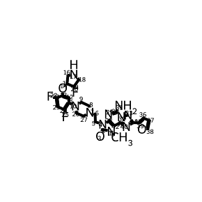 Cn1c(=O)n(CCN2CCN(c3cc(O[C@@H]4CNC[C@@H]4F)c(F)cc3F)CC2)c2nc(N)n3nc(-c4ccco4)nc3c21